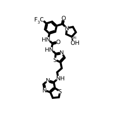 O=C(Nc1cc(C(=O)N2CC[C@@H](O)C2)cc(C(F)(F)F)c1)Nc1ncc(CCNc2ncnc3c2SCC3)s1